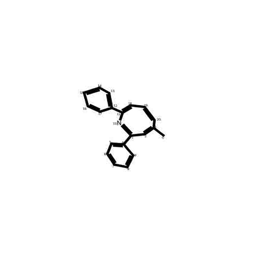 CC1=C/C(c2ccccc2)=N\C(c2ccccc2)=C/C=C\1